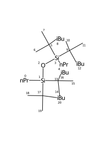 CCC[Si](O[Si](CCC)(C(C)(C)C(C)CC)C(C)(C)C(C)CC)(C(C)(C)C(C)CC)C(C)(C)C(C)CC